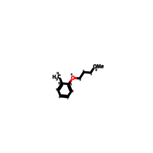 COCCCOc1c[c]ccc1C